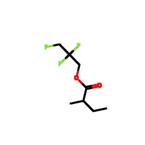 CCC(C)C(=O)OCC(F)(F)CF